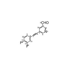 O=Cc1cncc(C#Cc2ccc(F)c(F)c2)c1